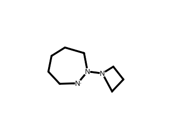 C1CC[N]N(N2CCC2)CC1